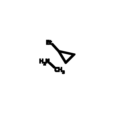 CCC1CC1.CN